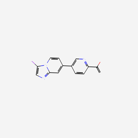 C=C(O)c1ccc(-c2ccn3c(I)cnc3c2)cn1